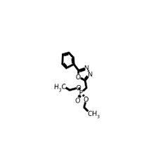 CCOP(=O)(Cc1nnc(-c2ccccc2)o1)OCC